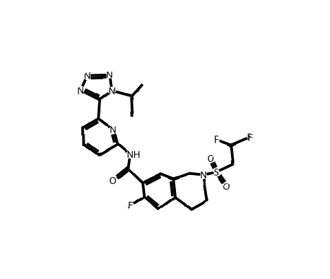 CC(C)n1nnnc1-c1cccc(NC(=O)c2cc3c(cc2F)CCN(S(=O)(=O)CC(F)F)C3)n1